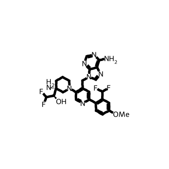 COc1ccc(-c2cc(Cn3cnc4c(N)ncnc43)c(N3CCC[C@](N)([C@@H](O)C(F)F)C3)cn2)c(C(F)F)c1